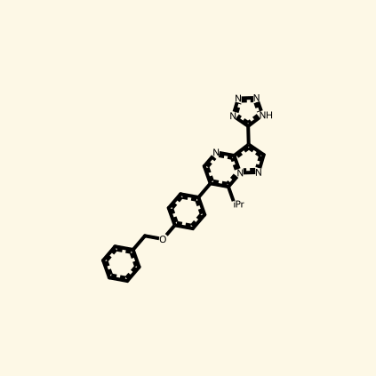 CC(C)c1c(-c2ccc(OCc3ccccc3)cc2)cnc2c(-c3nnn[nH]3)cnn12